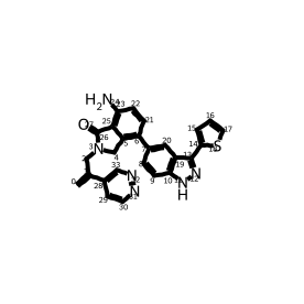 C=C(CN1Cc2c(-c3ccc4[nH]nc(-c5cccs5)c4c3)ccc(N)c2C1=O)c1ccnnc1